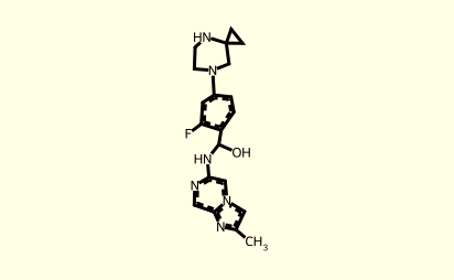 Cc1cn2cc(NC(O)c3ccc(N4CCNC5(CC5)C4)cc3F)ncc2n1